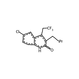 CC(C)Cc1c(CC(F)(F)F)c2cc(Cl)ccc2[nH]c1=O